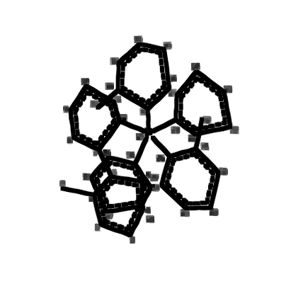 Cc1ccccc1-c1ccccc1P(c1ccccc1)(c1ccccc1)(c1ccccc1C)c1ccccc1C